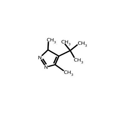 CC1=C(C(C)(C)C)C(C)N=N1